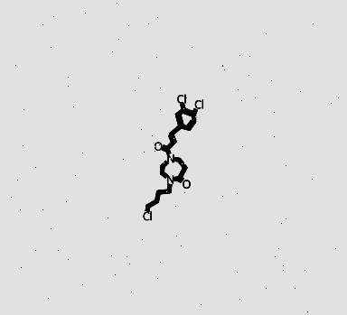 O=C(C=Cc1ccc(Cl)c(Cl)c1)N1CCC(=O)N(CCCCCl)CC1